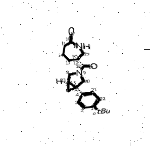 CC(C)(C)c1ccc([C@]23C[C@H]2CN(C(=O)[C@@H]2CCCC(=O)NC2)C3)cc1